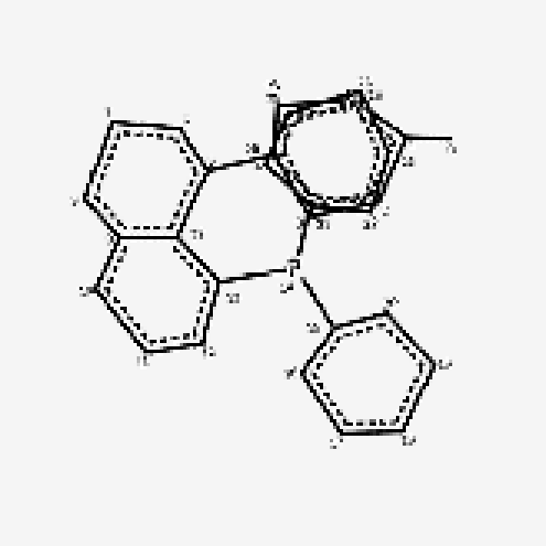 Cc1ccc(-c2cccc3cccc(P(c4ccccc4)c4ccccc4)c23)cn1